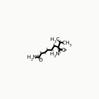 CC(C)C(CCCCCC(N)=O)C(N)=O